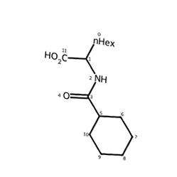 CCCCCCC(NC(=O)C1CCCCC1)C(=O)O